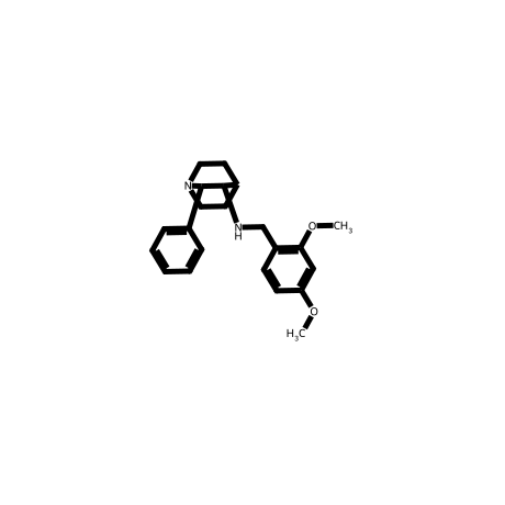 COc1ccc(CNC2C3CCN(CC3)C2c2ccccc2)c(OC)c1